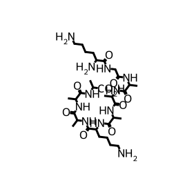 CC(NC(=O)C(C)NC(=O)C(C)NC(=O)C(CCCCN)NC(=O)C(C)NC(=O)C(C)NC(=O)C(C)NC(=O)CNC(=O)C(N)CCCCN)C(=O)O